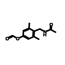 CC(=O)NCc1c(C)cc(OC=O)cc1C